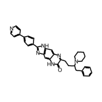 O=c1[nH]c2cc3nc(-c4ccc(-c5ccncc5)cc4)[nH]c3cc2nc1CCC(Cc1ccccc1)N1CCCCC1